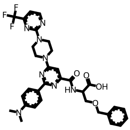 CN(C)c1ccc(-c2nc(C(=O)NC(COCc3ccccc3)C(=O)O)cc(N3CCN(c4nccc(C(F)(F)F)n4)CC3)n2)cc1